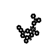 c1ccc(-c2nc(-c3ccc4c(c3)c3ccccc3n4-c3ccccc3)nc(-c3ccc(-n4c5ccccc5c5cc6ccccc6cc54)cc3-c3cccc4sc5c6ccccc6ccc5c34)n2)cc1